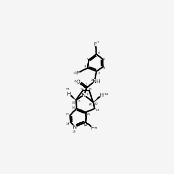 O=C(Nc1ccc(F)cc1F)N1[C@@H]2CC[C@H]1c1ccnc(F)c1C2